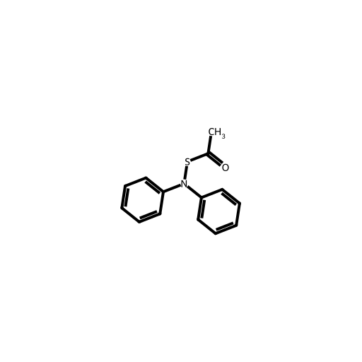 CC(=O)SN(c1ccccc1)c1ccccc1